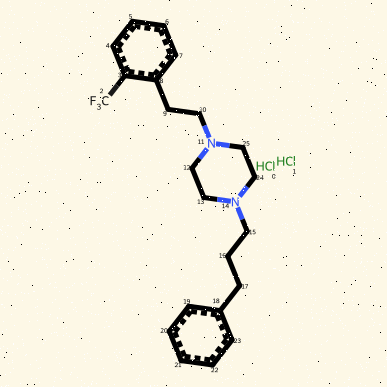 Cl.Cl.FC(F)(F)c1ccccc1CCN1CCN(CCCc2ccccc2)CC1